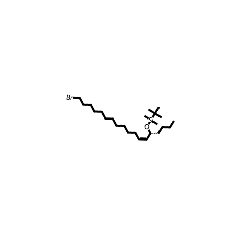 CCCC[C@H](/C=C\CCCCCCCCCCCBr)O[Si](C)(C)C(C)(C)C